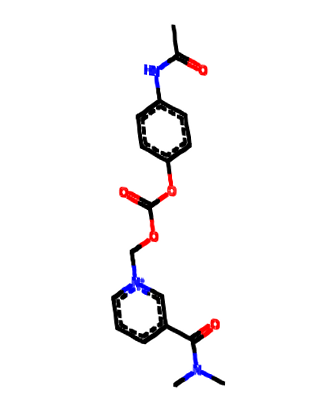 CC(=O)Nc1ccc(OC(=O)OC[n+]2cccc(C(=O)N(C)C)c2)cc1